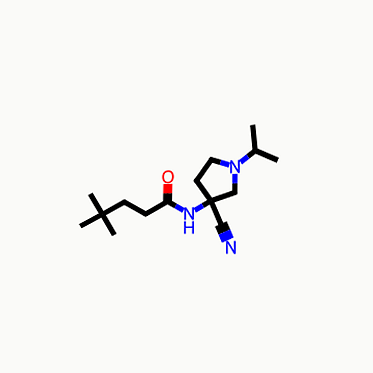 CC(C)N1CCC(C#N)(NC(=O)CCC(C)(C)C)C1